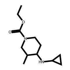 CCOC(=O)N1CCC(NC2CC2)C(C)C1